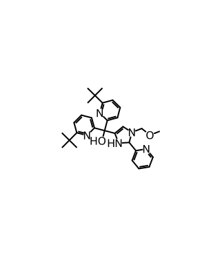 COCN1C=C(C(O)(c2cccc(C(C)(C)C)n2)c2cccc(C(C)(C)C)n2)NC1c1ccccn1